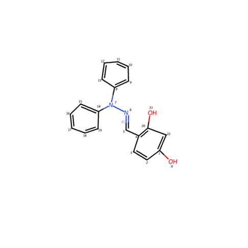 Oc1ccc(/C=N/N(c2ccccc2)c2ccccc2)c(O)c1